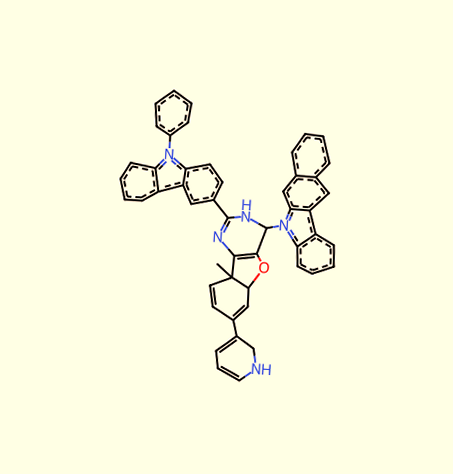 CC12C=CC(C3=CC=CNC3)=CC1OC1=C2N=C(c2ccc3c(c2)c2ccccc2n3-c2ccccc2)NC1n1c2ccccc2c2cc3ccccc3cc21